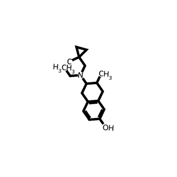 CCN(CC1(C)CC1)C1Cc2ccc(O)cc2CC1C